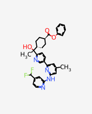 Cc1cc(Nc2cc(C(F)F)ccn2)nc(-c2ccc([C@](C)(O)[C@H]3CC[C@H](C(=O)Oc4ccccc4)CC3)nc2)c1